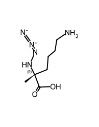 C[C@](CCCCN)(NN=[N+]=[N-])C(=O)O